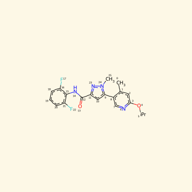 Cc1cc(OC(C)C)ncc1-c1cc(C(=O)Nc2c(F)cccc2F)nn1C